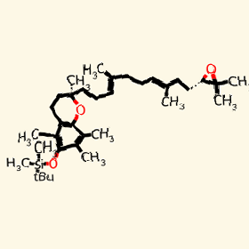 C/C(=C\CC[C@]1(C)CCc2c(C)c(O[Si](C)(C)C(C)(C)C)c(C)c(C)c2O1)CC/C=C(\C)CC[C@@H]1OC1(C)C